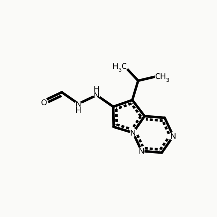 CC(C)c1c(NNC=O)cn2ncncc12